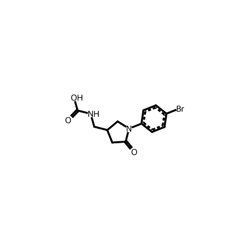 O=C(O)NCC1CC(=O)N(c2ccc(Br)cc2)C1